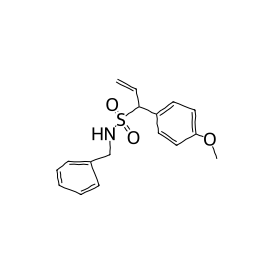 C=CC(c1ccc(OC)cc1)S(=O)(=O)NCc1ccccc1